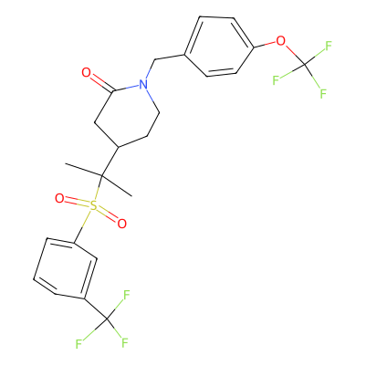 CC(C)(C1CCN(Cc2ccc(OC(F)(F)F)cc2)C(=O)C1)S(=O)(=O)c1cccc(C(F)(F)F)c1